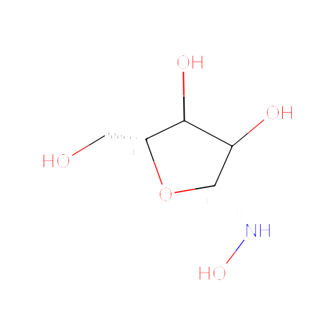 OC[C@H]1O[C@@H](NO)C(O)C1O